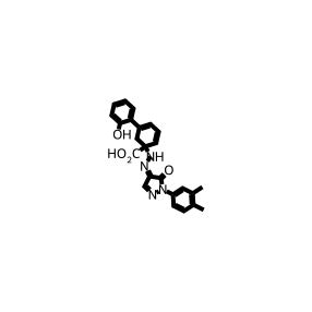 Cc1ccc(N2N=C/C(=N/NC3(C(=O)O)C=CC=C(c4ccccc4O)C3)C2=O)cc1C